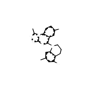 Cc1nnc2nc(N3CCCc4c(Br)cc(F)cc43)c3cc(F)ccc3n12